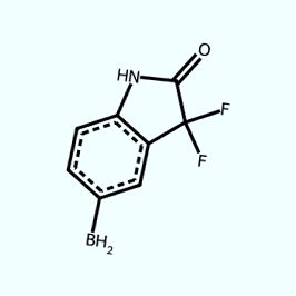 Bc1ccc2c(c1)C(F)(F)C(=O)N2